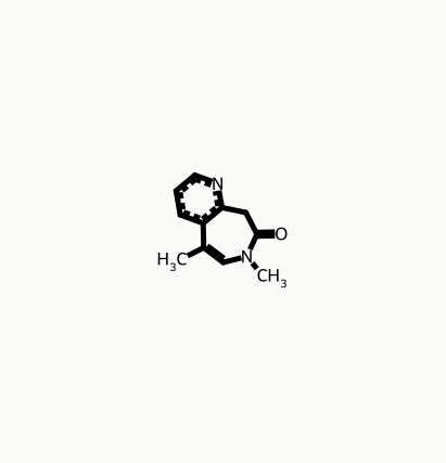 CC1=CN(C)C(=O)Cc2ncccc21